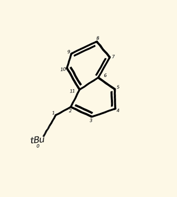 [CH2]C(C)(C)Cc1cccc2ccccc12